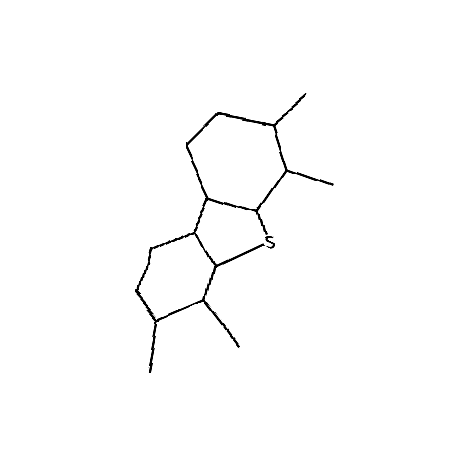 CC1CCC2C3CCC(C)C(C)C3SC2C1C